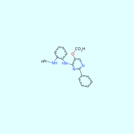 CCCNc1ccccc1Nc1nc(-c2ccccc2)ncc1OC(=O)O